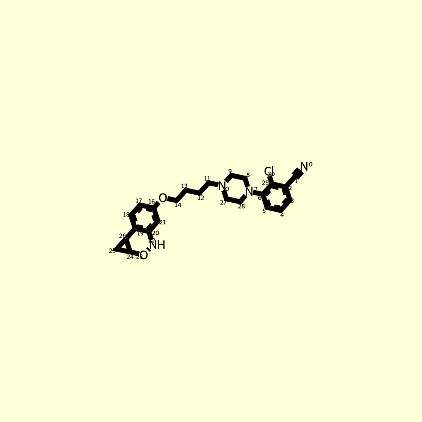 N#Cc1cccc(N2CCN(CCCCOc3ccc4c(c3)NOC3CC43)CC2)c1Cl